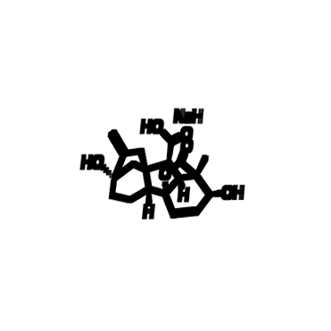 C=C1C[C@]23C[C@@]1(O)CC[C@H]2[C@@]12C=C[C@H](O)[C@@](C)(C(=O)O1)[C@H]2[C@@H]3C(=O)O.[NaH]